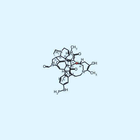 CC[C@@]1([C@@H](OC(C)=O)[C@H](O)C(=O)OC)C=CCN2CC[C@]3(CN(C=O)C4=CC(OC)C([C@@]5(C(=O)OC)C[C@@H]6CC(O)=C(C)N(CCc7c5[nH]c5ccc(BP)cc75)C6)C=C43)[C@@H]21